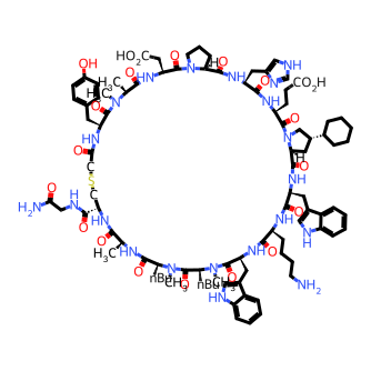 CCCC[C@H]1C(=O)N(C)[C@@H](CCCC)C(=O)N[C@@H](C)C(=O)N[C@H](C(=O)NCC(N)=O)CSCC(=O)N[C@@H](Cc2ccc(O)cc2)C(=O)N(C)[C@@H](C)C(=O)N[C@@H](CC(=O)O)C(=O)N2CCC[C@H]2C(=O)N[C@@H](Cc2c[nH]cn2)C(=O)N[C@@H](CCC(=O)O)C(=O)N2C[C@H](C3CCCCC3)C[C@H]2C(=O)N[C@@H](Cc2c[nH]c3ccccc23)C(=O)N[C@@H](CCCCN)C(=O)N[C@@H](Cc2c[nH]c3ccccc23)C(=O)N1C